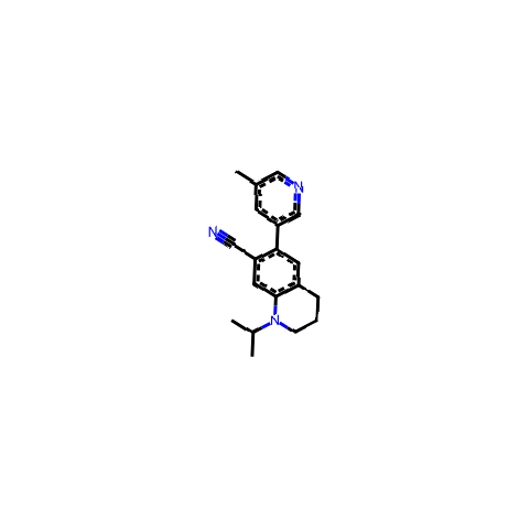 Cc1cncc(-c2cc3c(cc2C#N)N(C(C)C)CCC3)c1